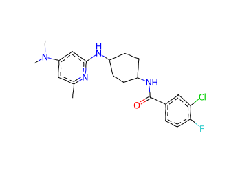 Cc1cc(N(C)C)cc(NC2CCC(NC(=O)c3ccc(F)c(Cl)c3)CC2)n1